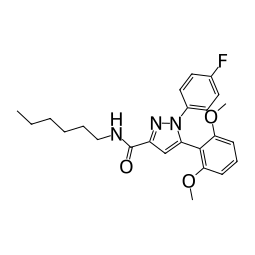 CCCCCCNC(=O)c1cc(-c2c(OC)cccc2OC)n(-c2ccc(F)cc2)n1